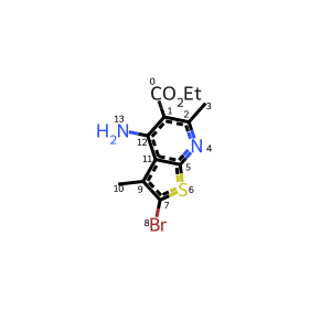 CCOC(=O)c1c(C)nc2sc(Br)c(C)c2c1N